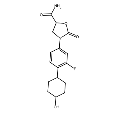 NC(=O)C1CN(c2ccc(C3CCC(O)CC3)c(F)c2)C(=O)O1